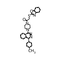 Cc1ccc(-c2nnc(N3CCN(C(=O)CSc4nc5ccccc5o4)CC3)c3ccccc23)cc1